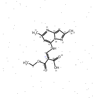 CCOC(=O)/C(=C/Nc1cc(C)nc2cc(C)nn12)C(=O)O